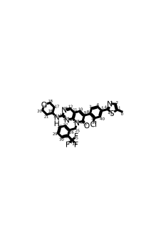 Cc1cnc(-c2ccc(-c3cc4cnc(NC5CCOCC5)nc4n(Cc4ccccc4C(F)(F)F)c3=O)c(Cl)c2)s1